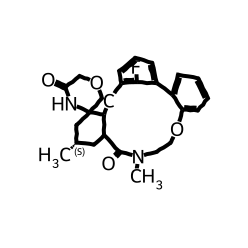 C[C@H]1CC2C(=O)N(C)CCOc3ccccc3-c3cccc(c3F)CC2C2(COCC(=O)N2)C1